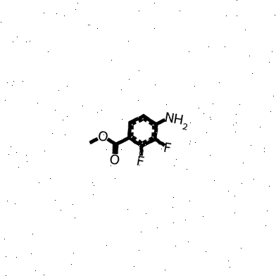 COC(=O)c1ccc(N)c(F)c1F